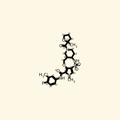 Cc1cc(NC(=O)c2c3c(cn2C)S(=O)(=O)NC2CCN(C(=O)C4(C)CCCO4)CC2CO3)ccc1F